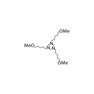 COCCCCCN1CN(CCCCCOC)CN(CCCCCOC)C1